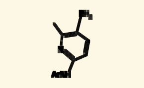 Bc1ccc(NC(C)=O)nc1C